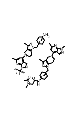 CC(=O)N(C)CC(=O)NC12CCC(Cn3nc(C)c4c3CCN(c3cc(C)nc5c3cnn5C)C4)(CC1)CC2.[2H]C([2H])([2H])n1ncc2c(N3CCc4c(c(C)nn4CC45CCC(N)(CC4)CC5)C3)cc(C)nc21